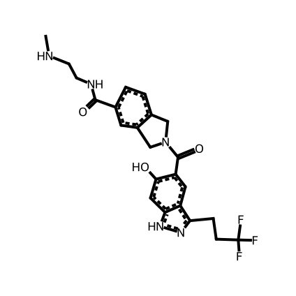 CNCCNC(=O)c1ccc2c(c1)CN(C(=O)c1cc3c(CCC(F)(F)F)n[nH]c3cc1O)C2